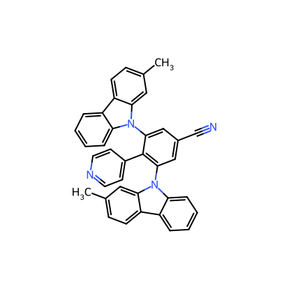 Cc1ccc2c3ccccc3n(-c3cc(C#N)cc(-n4c5ccccc5c5ccc(C)cc54)c3-c3ccncc3)c2c1